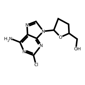 Nc1nc(Cl)nc2c1ncn2C1CCC(CO)O1